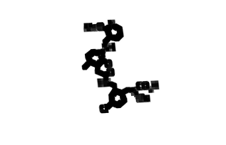 COc1ncccc1CNn1ccc(C)c(CC(=O)NCc2cc(Cl)ccc2CN(C(=O)O)C(C)(C)C)c1=O